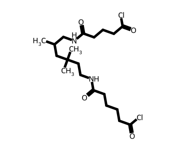 CC(CNC(=O)CCCC(=O)Cl)CC(C)(C)CCNC(=O)CCCCC(=O)Cl